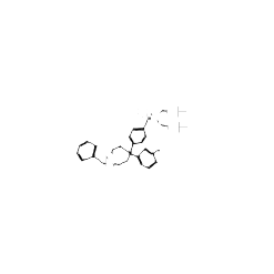 CCN(CC)C(=O)c1ccc(C2(c3cccc(F)c3)CCN(Cc3ccccc3)CC2)cc1